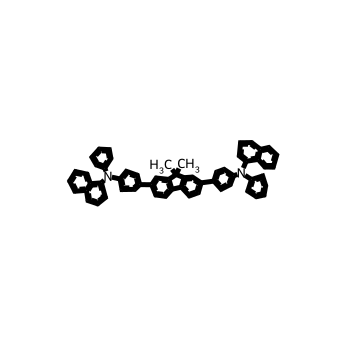 CC1(C)c2cc(-c3ccc(N(c4ccccc4)c4cccc5ccccc45)cc3)ccc2-c2ccc(-c3ccc(N(c4ccccc4)c4cccc5ccccc45)cc3)cc21